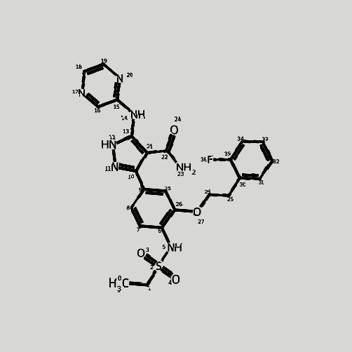 CCS(=O)(=O)Nc1ccc(-c2n[nH]c(Nc3cnccn3)c2C(N)=O)cc1OCCc1ccccc1F